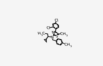 CCC(C1CC1)N(Cc1ccc(C)cc1)c1nc(-c2ccc(Cl)cc2Cl)c(C)s1